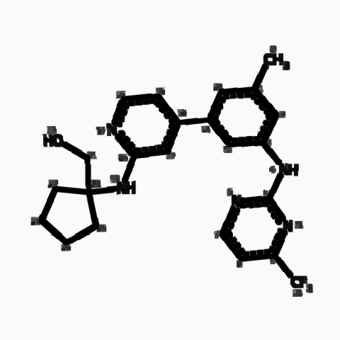 Cc1cc(Nc2nccc(C(F)(F)F)n2)cc(-c2ccnc(NC3(CO)CCCC3)c2)c1